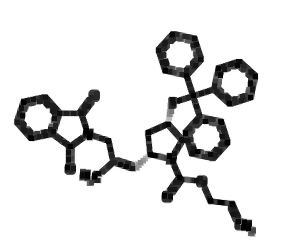 C=CCOC(=O)N1C[C@@H](SC(c2ccccc2)(c2ccccc2)c2ccccc2)C[C@H]1/C=C(/C)CN1C(=O)c2ccccc2C1=O